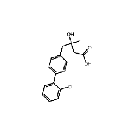 CC(O)(CC(=O)O)Cc1ccc(-c2ccccc2Cl)cc1